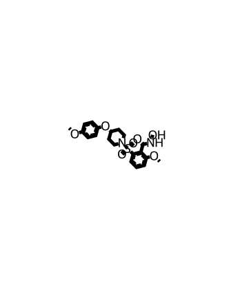 COc1ccc(OC2CCN(S(=O)(=O)c3cccc(OC)c3C(=O)NO)CC2)cc1